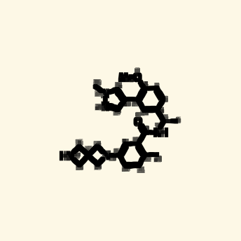 COc1ccc([C@@H](C)NC(=O)c2cc(N3CC4(CNC4)C3)ccc2C)cc1-c1cnn(C)c1